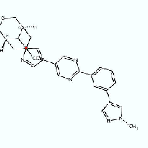 Cn1cc(-c2cccc(-c3ncc(-c4cnn(C5[C@H]6COC[C@H]5CC(C(=O)O)C6)c4)cn3)c2)cn1